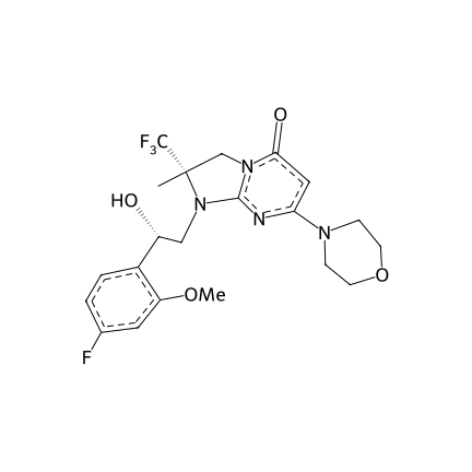 COc1cc(F)ccc1[C@H](O)CN1c2nc(N3CCOCC3)cc(=O)n2C[C@@]1(C)C(F)(F)F